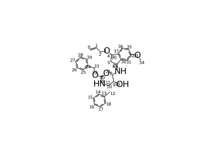 C=CCO[C@@H]1C[C@H](NCC(O)[C@H](Cc2ccccc2)NC(=O)OCc2ccccc2)c2cc(OC)ccc21